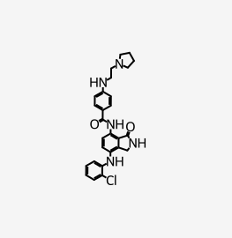 O=C(Nc1ccc(Nc2ccccc2Cl)c2c1C(=O)NC2)c1ccc(NCCN2CCCC2)cc1